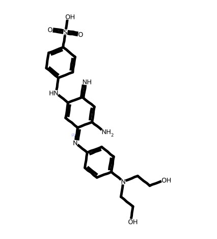 N=C1C=C(N)/C(=N\c2ccc(N(CCO)CCO)cc2)C=C1Nc1ccc(S(=O)(=O)O)cc1